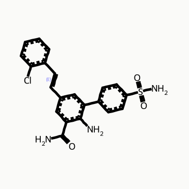 NC(=O)c1cc(/C=C/c2ccccc2Cl)cc(-c2ccc(S(N)(=O)=O)cc2)c1N